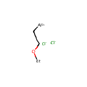 CCOC[CH2][Al+2].[Cl-].[Cl-]